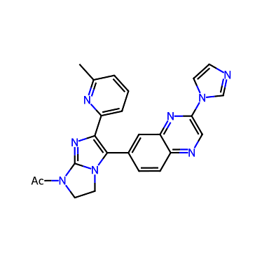 CC(=O)N1CCn2c1nc(-c1cccc(C)n1)c2-c1ccc2ncc(-n3ccnc3)nc2c1